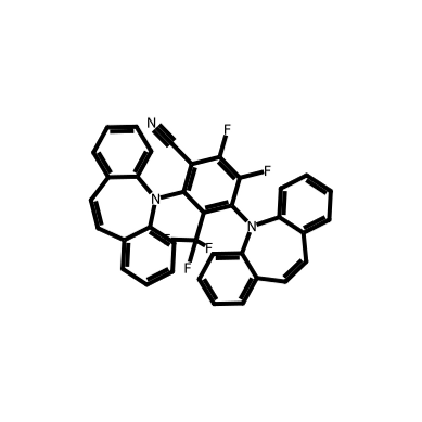 N#Cc1c(F)c(F)c(N2c3ccccc3C=Cc3ccccc32)c(C(F)(F)F)c1N1c2ccccc2C=Cc2ccccc21